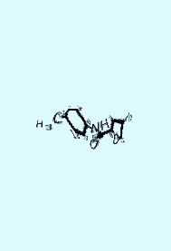 C[C@H]1CC[C@@H](NC(=O)C2CCCO2)CC1